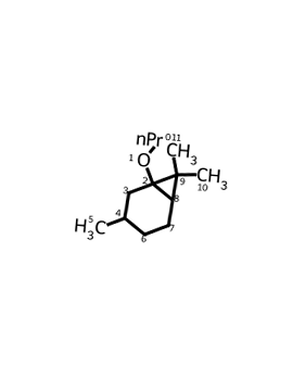 [CH2]CCOC12CC(C)CCC1C2(C)C